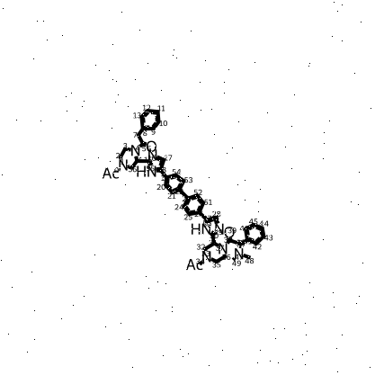 CC(=O)N1CCN(C(=O)Cc2ccccc2)C(c2ncc(-c3ccc(-c4ccc(-c5cnc(C6CN(C(C)=O)CCN6C(=O)[C@@H](c6ccccc6)N(C)C)[nH]5)cc4)cc3)[nH]2)C1